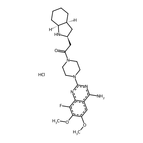 COc1cc2c(N)nc(N3CCN(C(=O)C[C@@H]4C[C@@H]5CCCC[C@@H]5N4)CC3)nc2c(F)c1OC.Cl